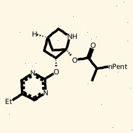 CCCCCC(C)C(=O)O[C@]12C[C@H](CN1)C[C@H]2Oc1ncc(CC)cn1